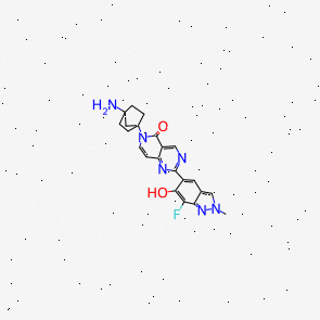 Cn1cc2cc(-c3ncc4c(=O)n(C56CCC(N)(CC5)C6)ccc4n3)c(O)c(F)c2n1